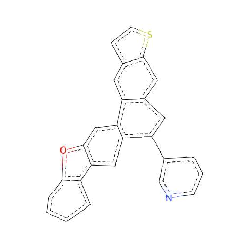 c1cncc(-c2cc3cc4sccc4cc3c3cc4oc5ccccc5c4cc23)c1